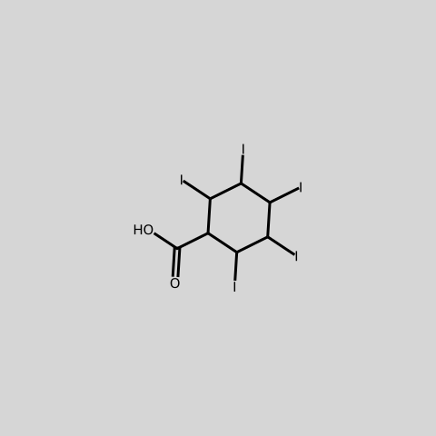 O=C(O)C1C(I)C(I)C(I)C(I)C1I